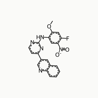 COc1cc(F)c([N+](=O)[O-])cc1Nc1nccc(-c2cnc3ccccc3c2)n1